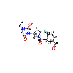 CCN1CC(=O)N([C@@H]2CCN(C(=O)c3cc(C=O)ccc3F)C2)C1=O